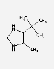 CC1=C(C(C)(C)C)NCN1